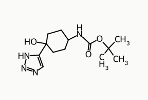 CC(C)(C)OC(=O)NC1CCC(O)(c2cnn[nH]2)CC1